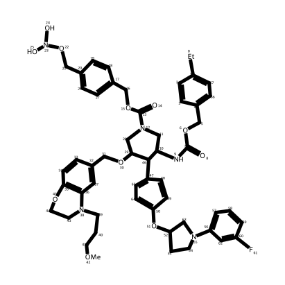 CCc1ccc(COC(=O)NC2CN(C(=O)OCc3ccc(CON(O)O)cc3)CC(OCc3ccc4c(c3)N(CCCOC)CCO4)C2c2ccc(OC3CCN(c4cccc(F)c4)C3)cc2)cc1